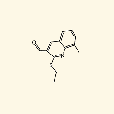 CCSc1nc2c(C)cccc2cc1C=O